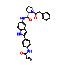 CC(=O)Nc1ccc(-c2cc3cc(NC(=O)[C@@H]4CCCN4C(=O)[CH]c4ccccc4)ccc3[nH]2)cc1